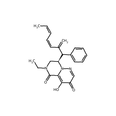 C=C(/C=C\C=C/C)C(c1ccccc1)[C@@H]1CN(CC)C(=O)c2c(O)c(=O)cnn21